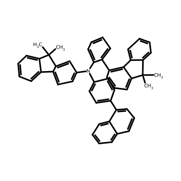 CC1(C)c2ccccc2-c2ccc(N(c3ccc(-c4cccc5ccccc45)cc3)c3ccccc3-c3cccc4c3-c3ccccc3C4(C)C)cc21